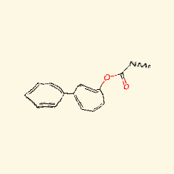 CNC(=O)Oc1cccc(-c2ccccc2)c1